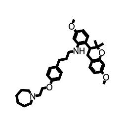 COc1ccc(C2Cc3ccc(OC)cc3OC2(C)C)c(NCCCc2ccc(OCCN3CCCCCC3)cc2)c1